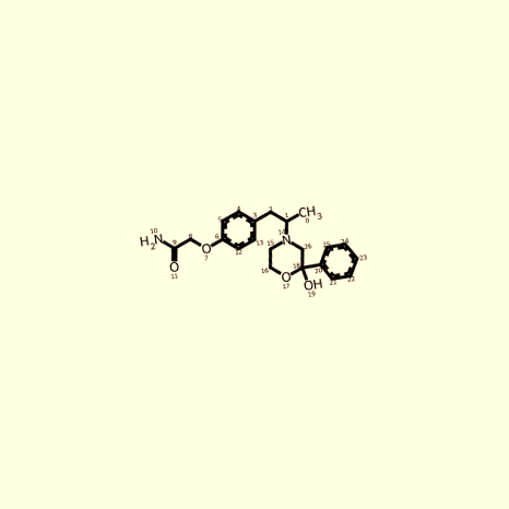 CC(Cc1ccc(OCC(N)=O)cc1)N1CCOC(O)(c2ccccc2)C1